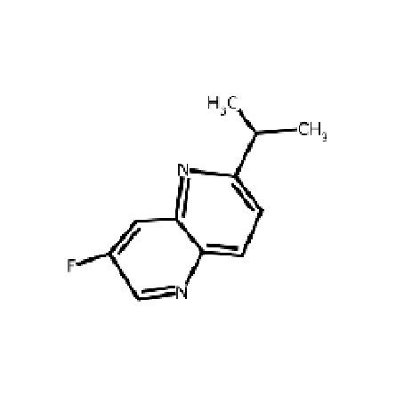 CC(C)c1ccc2ncc(F)cc2n1